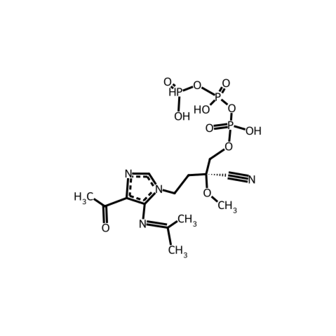 CO[C@@](C#N)(CCn1cnc(C(C)=O)c1N=C(C)C)COP(=O)(O)OP(=O)(O)O[PH](=O)O